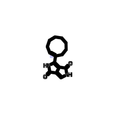 O=C1NC(/C2=C/CCCCCCC2)=C2C(=O)NC=C12